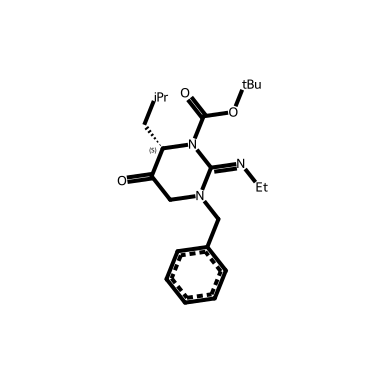 CCN=C1N(Cc2ccccc2)CC(=O)[C@H](CC(C)C)N1C(=O)OC(C)(C)C